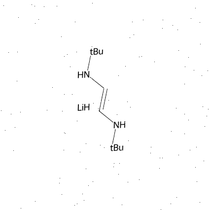 CC(C)(C)N/C=C/NC(C)(C)C.[LiH]